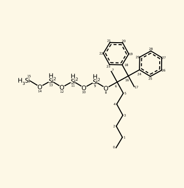 CCCCCCC(C)(O[SiH2]O[SiH2]O[SiH2]O[SiH3])C(C)(c1ccccc1)c1ccccc1